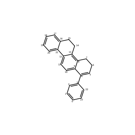 [c]1ccc(C2=CCCc3c2ccc2c3CCc3ccccc3-2)cc1